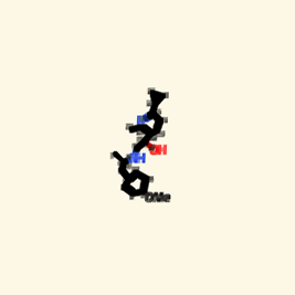 COc1ccc(C[C@@H](C)NC[C@H](O)c2ccc(C3CC3)nc2C)cc1